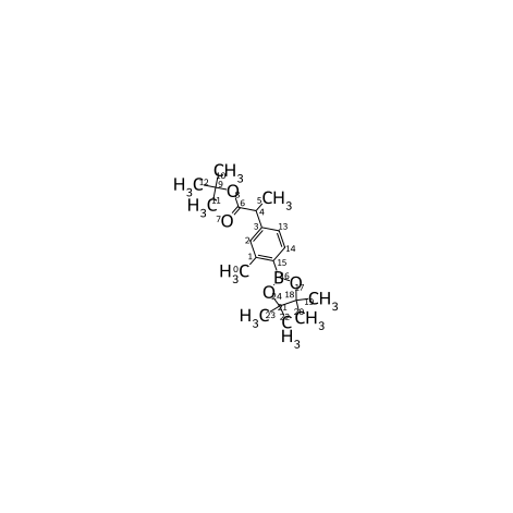 Cc1cc(C(C)C(=O)OC(C)(C)C)ccc1B1OC(C)(C)C(C)(C)O1